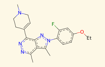 CCOc1ccc(-n2nc3c(C4=CCN(C)CC4)nnc(C)c3c2C)c(F)c1